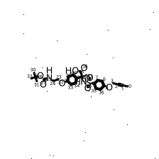 CC#CCOc1ccc(S(=O)(=O)N[C@@](C)(C(=O)O)c2ccc(OCCNC(=O)OC(C)(C)C)cc2)cc1